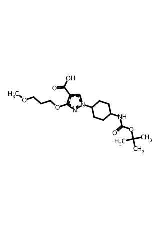 COCCCOc1nn(C2CCC(NC(=O)OC(C)(C)C)CC2)cc1C(=O)O